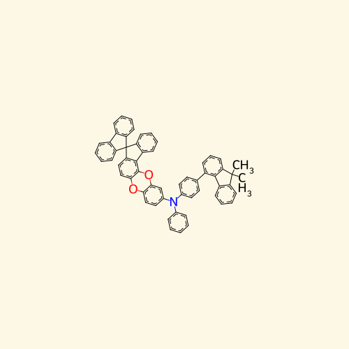 CC1(C)c2ccccc2-c2c(-c3ccc(N(c4ccccc4)c4ccc5c(c4)Oc4c(ccc6c4-c4ccccc4C64c6ccccc6-c6ccccc64)O5)cc3)cccc21